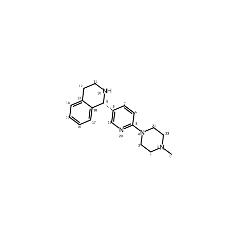 CN1CCN(c2ccc([C@H]3NCCc4ccccc43)cn2)CC1